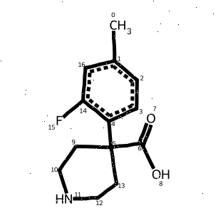 Cc1ccc(C2(C(=O)O)CCNCC2)c(F)c1